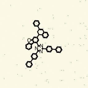 C1=C(c2ccccc2)CC(c2cc(-c3nc(-c4ccc(-c5ccccc5)cc4)nc(-c4ccc(-c5ccccc5)cc4)n3)c3c(c2)oc2ccccc23)c2ccccc21